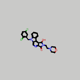 O=C1c2ncc3c(c2C(O)N1CCN1CCOCC1)c1ccccc1n3Cc1cc(Cl)ccc1Cl